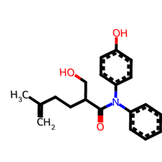 C=C(C)CCC(CO)C(=O)N(c1ccccc1)c1ccc(O)cc1